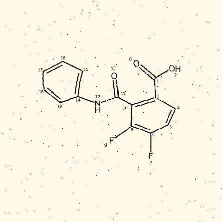 O=C(O)c1ccc(F)c(F)c1C(=O)Nc1ccccc1